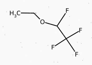 C[CH]OC(F)C(F)(F)F